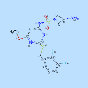 COc1cc(NS(=O)(=O)N2CC(N)C2)nc(SCc2cccc(F)c2F)n1